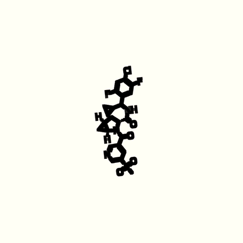 CS(=O)(=O)c1cncc(C(=O)N2[C@@H](C(=O)NC(c3cc(F)c(Cl)cc3F)C3CC3)C[C@@H]3C[C@@H]32)c1